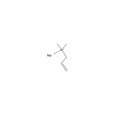 C=CC[N+](C)(C)C.[Na]